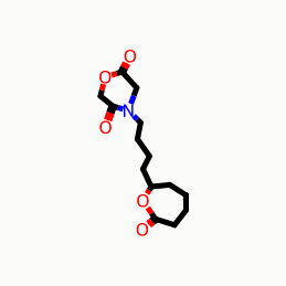 O=C1CN(CCCCC2CCCCC(=O)O2)C(=O)CO1